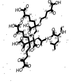 CC(C)C[C@](C(=O)O)(N(C)C[C@@](CCCC(=O)C(=O)O)(OCCCC(=O)C(=O)O)C(=O)O)C(CCCC(=O)C(=O)O)(CCCC(=O)C(=O)O)C(=O)C(=O)O.CN[C@@H](CC(C)C)C(=O)O